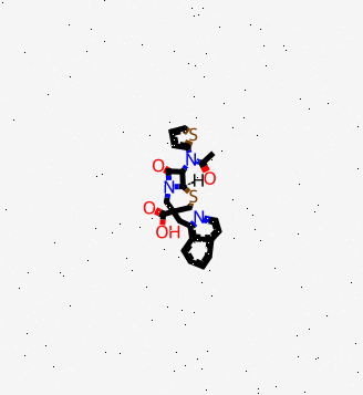 CC(=O)N(c1cccs1)C1C(=O)N2CC(Cc3nccc4ccccc34)(C(=O)O)CS[C@H]12